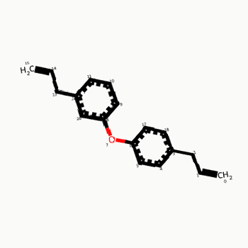 C=CCc1ccc(Oc2cccc(CC=C)c2)cc1